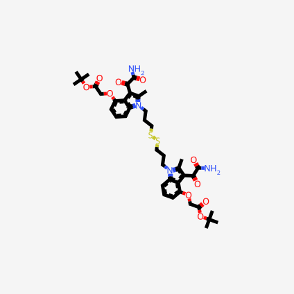 Cc1c(C(=O)C(N)=O)c2c(OCC(=O)OC(C)(C)C)cccc2n1CCCSSCCCn1c(C)c(C(=O)C(N)=O)c2c(OCC(=O)OC(C)(C)C)cccc21